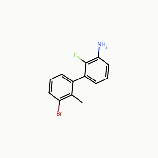 Cc1c(Br)cccc1-c1cccc(N)c1F